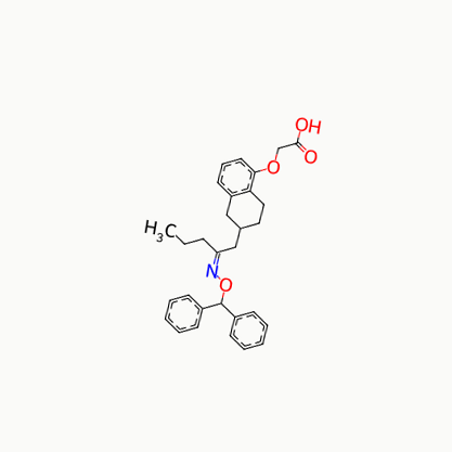 CCC/C(CC1CCc2c(cccc2OCC(=O)O)C1)=N/OC(c1ccccc1)c1ccccc1